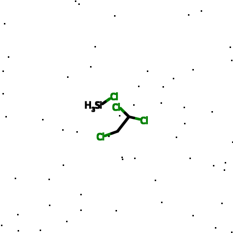 ClCC(Cl)Cl.[SiH3]Cl